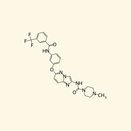 CN1CCN(C(=O)Nc2cn3nc(Oc4cccc(NC(=O)c5cccc(C(F)(F)F)c5)c4)ccc3n2)CC1